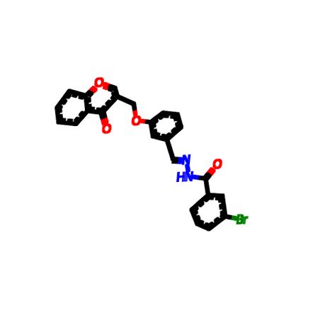 O=C(N/N=C/c1cccc(OCc2coc3ccccc3c2=O)c1)c1cccc(Br)c1